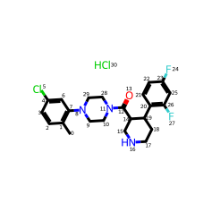 Cc1ccc(Cl)cc1N1CCN(C(=O)C2CNCCC2c2ccc(F)cc2F)CC1.Cl